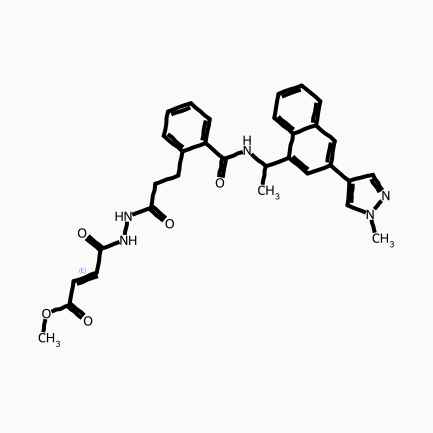 COC(=O)/C=C/C(=O)NNC(=O)CCc1ccccc1C(=O)NC(C)c1cc(-c2cnn(C)c2)cc2ccccc12